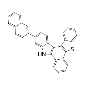 c1ccc2cc(-c3ccc4c(c3)[nH]c3c5ccccc5c5sc6ccccc6c5c43)ccc2c1